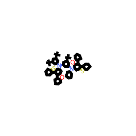 CC(C)(C)c1cc(N(c2ccccc2)c2cc3sc4ccccc4c3c3c2oc2ccccc23)cc(N(c2cc(C(C)(C)C)cc(C(C)(C)C)c2)c2cc3oc4ccccc4c3c3c2sc2ccccc23)c1